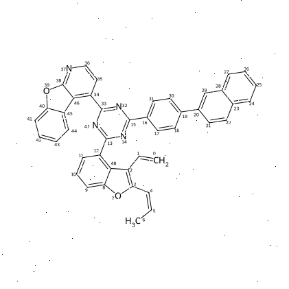 C=Cc1c(/C=C\C)oc2cccc(-c3nc(-c4ccc(-c5ccc6ccccc6c5)cc4)nc(-c4ccnc5oc6ccccc6c45)n3)c12